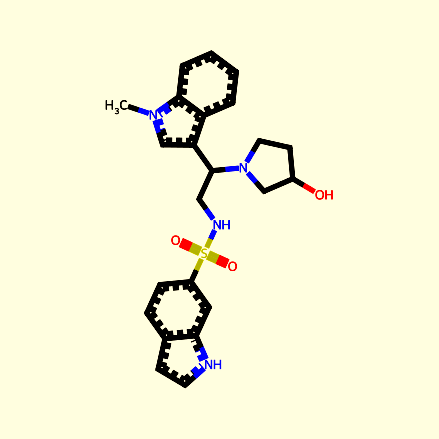 Cn1cc(C(CNS(=O)(=O)c2ccc3cc[nH]c3c2)N2CCC(O)C2)c2ccccc21